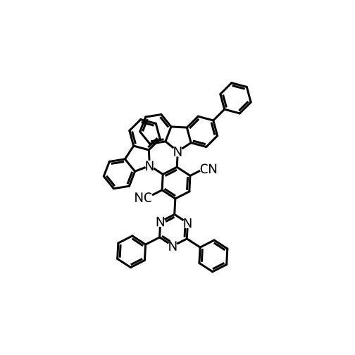 N#Cc1cc(-c2nc(-c3ccccc3)nc(-c3ccccc3)n2)c(C#N)c(-n2c3ccccc3c3ccccc32)c1-n1c2ccccc2c2cc(-c3ccccc3)ccc21